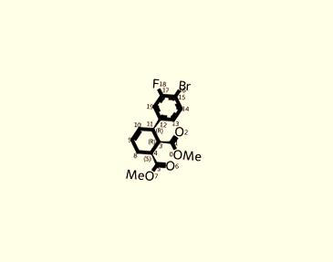 COC(=O)[C@H]1[C@@H](C(=O)OC)CC=C[C@H]1c1ccc(Br)c(F)c1